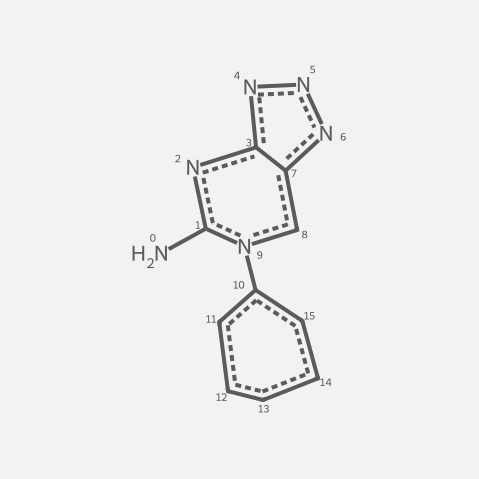 Nc1nc2nnnc-2cn1-c1ccccc1